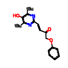 CC(C)(C)c1nc(/C=C/C(=O)COc2ccccc2)nc(C(C)(C)C)c1O